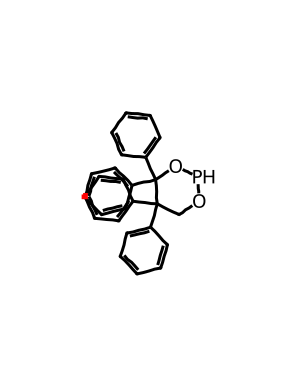 c1ccc(C2(c3ccccc3)COPOC2(c2ccccc2)c2ccccc2)cc1